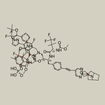 COC(=O)N[C@H](C(=O)N[C@@H](Cc1ccc(C#Cc2cnc(N3CC4CCC(C3)N4C3COC3)nc2)cc1)[C@H](CN(Cc1c(F)cc(-c2ccn(C(F)F)n2)cc1F)NC(=O)[C@@H](NC(=O)OC)C(C)(C)C(F)(F)F)OC(=O)CC(C)(C)c1c(CC(=O)Nc2cccc(C(=O)OC(C)(C)C)c2)cc(C)cc1OP(=O)(O)O)C(C)(C)C(F)(F)F